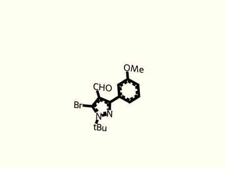 COc1cccc(-c2nn(C(C)(C)C)c(Br)c2C=O)c1